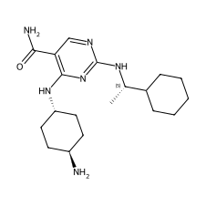 C[C@H](Nc1ncc(C(N)=O)c(N[C@H]2CC[C@H](N)CC2)n1)C1CCCCC1